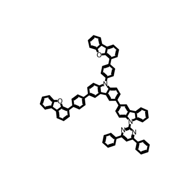 c1ccc(-c2cc(-c3ccccc3)nc(-n3c4ccccc4c4cc(-c5ccc6c(c5)c5cc(-c7ccc(-c8cccc9c8oc8ccccc89)cc7)ccc5n6-c5ccc(-c6cccc7c6oc6ccccc67)cc5)ccc43)n2)cc1